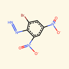 N=Nc1c(Br)cc([N+](=O)[O-])cc1[N+](=O)[O-]